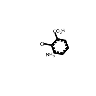 N.O=C(O)c1ccccc1Cl